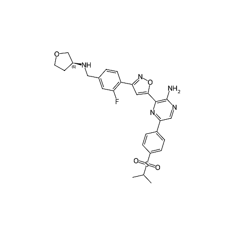 CC(C)S(=O)(=O)c1ccc(-c2cnc(N)c(-c3cc(-c4ccc(CN[C@H]5CCOC5)cc4F)no3)n2)cc1